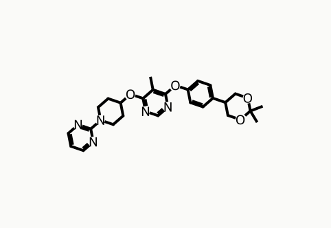 Cc1c(Oc2ccc(C3COC(C)(C)OC3)cc2)ncnc1OC1CCN(c2ncccn2)CC1